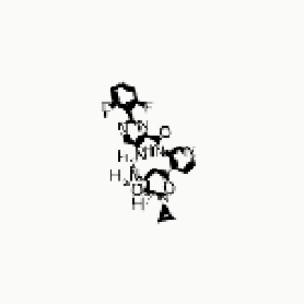 C[C@]1(O)[C@H](N)C[C@H](c2ccncc2NC(=O)c2nc(-c3c(F)cccc3F)ncc2N)O[C@@H]1C1CC1